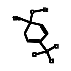 CCOC1(C(C)(C)C)C=CC([Si](Cl)(Cl)Cl)=CC1